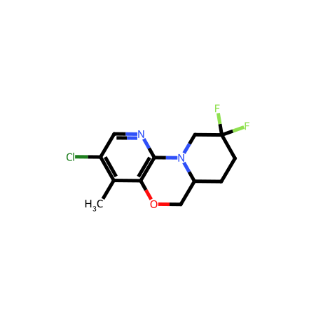 Cc1c(Cl)cnc2c1OCC1CCC(F)(F)CN21